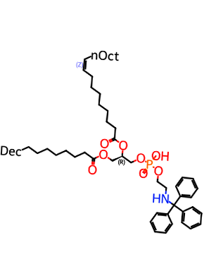 CCCCCCCC/C=C\CCCCCCCC(=O)O[C@H](COC(=O)CCCCCCCCCCCCCCCCC)COP(=O)(O)OCCNC(c1ccccc1)(c1ccccc1)c1ccccc1